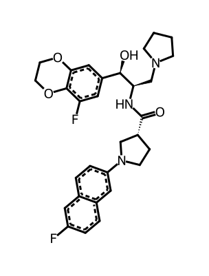 O=C(N[C@H](CN1CCCC1)[C@H](O)c1cc(F)c2c(c1)OCCO2)[C@@H]1CCN(c2ccc3cc(F)ccc3c2)C1